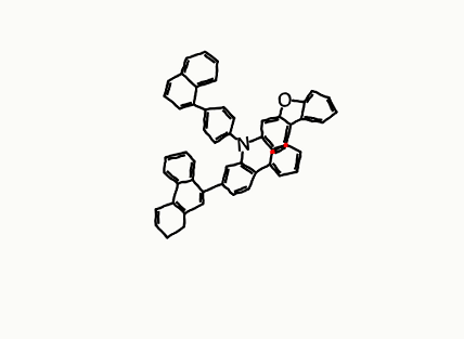 C1=Cc2c(cc(-c3ccc(-c4ccccc4)c(N(c4ccc(-c5cccc6ccccc56)cc4)c4ccc5c(c4)oc4ccccc45)c3)c3ccccc23)CC1